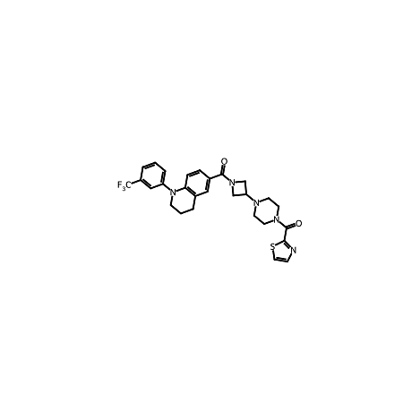 O=C(c1ccc2c(c1)CCCN2c1cccc(C(F)(F)F)c1)N1CC(N2CCN(C(=O)c3nccs3)CC2)C1